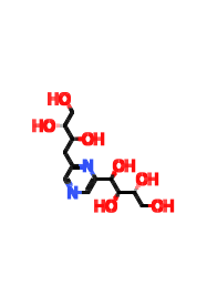 OC[C@@H](O)[C@@H](O)[C@H](O)c1cncc(C[C@H](O)[C@H](O)CO)n1